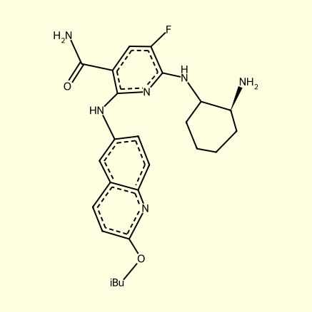 CCC(C)Oc1ccc2cc(Nc3nc(NC4CCCC[C@@H]4N)c(F)cc3C(N)=O)ccc2n1